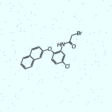 O=C(CBr)Nc1cc(Cl)ccc1Oc1ccc2ccccc2c1